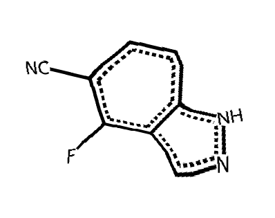 N#Cc1ccc2[nH]ncc2c1F